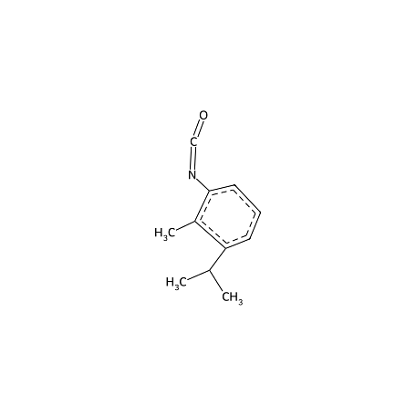 Cc1c(N=C=O)cccc1C(C)C